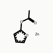 CC(=O)Oc1ccco1.[Zn]